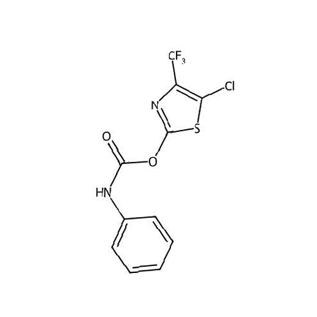 O=C(Nc1ccccc1)Oc1nc(C(F)(F)F)c(Cl)s1